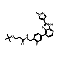 Cn1cc(-c2nc3c(-c4ccc(CNC(=O)CCOC(C)(C)C)c(F)c4)ccnc3[nH]2)cn1